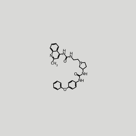 Cc1cc(NC(=O)NCCN2CCC(NC(=O)Nc3ccc(Oc4ccccc4)cc3)C2)c2ccccc2n1